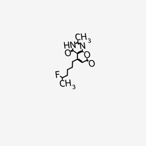 Cc1nc2oc(=O)cc(CCCCC(C)F)c2c(=O)[nH]1